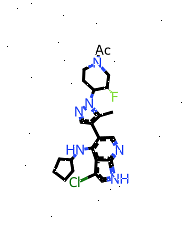 CC(=O)N1CCC(n2ncc(-c3cnc4[nH]cc(Cl)c4c3NC3CCCC3)c2C)[C@@H](F)C1